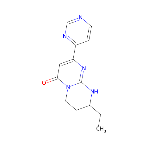 CCC1CCn2c(nc(-c3ccncn3)cc2=O)N1